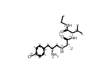 CCNC(=O)[C@@H](NC(=O)[C@H](C)NC[C@@H](N)Cc1ccc(Cl)cc1)C(C)C